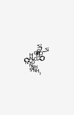 C[Si](C)(C)CCOP(=O)(OCC[Si](C)(C)C)Oc1ccccc1COC(=O)Nc1cccnc1C=NNC(N)=S